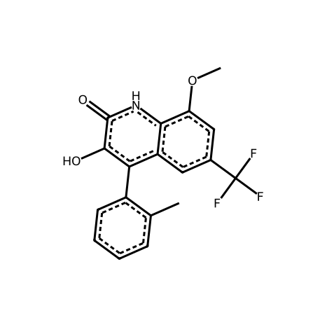 COc1cc(C(F)(F)F)cc2c(-c3ccccc3C)c(O)c(=O)[nH]c12